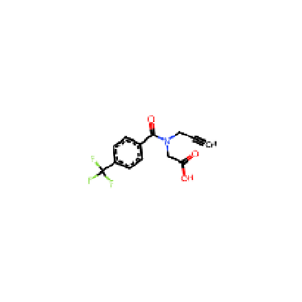 C#CCN(CC(=O)O)C(=O)c1ccc(C(F)(F)F)cc1